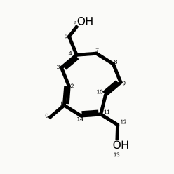 CC1=C\C=C(\CO)CC/C=C/C(CO)=C\1